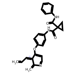 C=C/C=c1/c(Oc2ccc(NC(=O)C3(C(=O)Nc4ccccc4)CC3)cc2)ccnc1=C